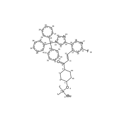 CC(C)(C)[Si](C)(C)OC1CCC(C(=O)/C=C/c2cc(F)ncc2-c2cn(C(c3ccccc3)(c3ccccc3)c3ccccc3)cn2)CC1